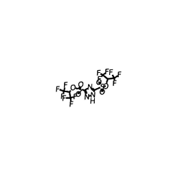 O=S(=O)(OC(C(F)(F)F)C(F)(F)F)c1n[nH]c(S(=O)(=O)OC(C(F)(F)F)C(F)(F)F)n1